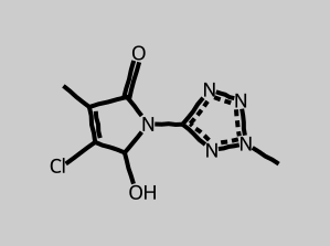 CC1=C(Cl)C(O)N(c2nnn(C)n2)C1=O